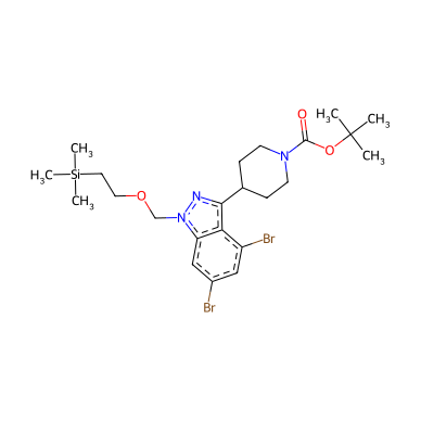 CC(C)(C)OC(=O)N1CCC(c2nn(COCC[Si](C)(C)C)c3cc(Br)cc(Br)c23)CC1